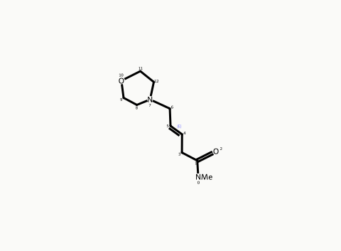 CNC(=O)C/C=C/CN1CCOCC1